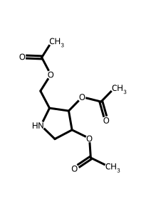 CC(=O)OCC1NCC(OC(C)=O)C1OC(C)=O